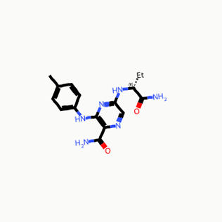 CC[C@@H](Nc1cnc(C(N)=O)c(Nc2ccc(C)cc2)n1)C(N)=O